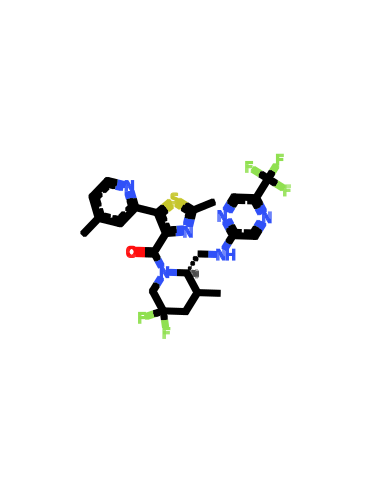 Cc1ccnc(-c2sc(C)nc2C(=O)N2CC(F)(F)CC(C)[C@H]2CNc2cnc(C(F)(F)F)cn2)c1